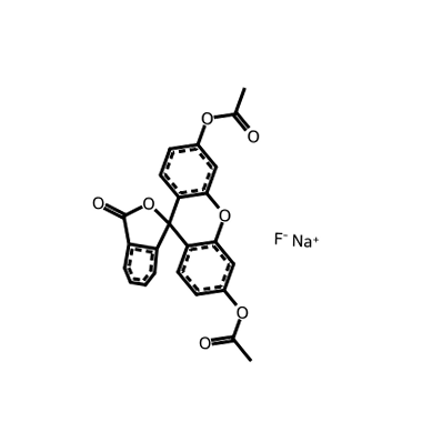 CC(=O)Oc1ccc2c(c1)Oc1cc(OC(C)=O)ccc1C21OC(=O)c2ccccc21.[F-].[Na+]